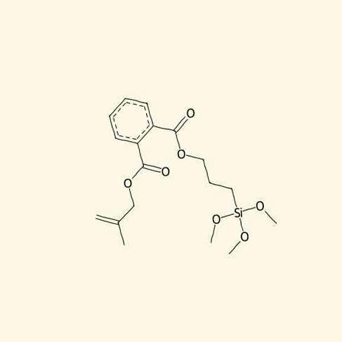 C=C(C)COC(=O)c1ccccc1C(=O)OCCC[Si](OC)(OC)OC